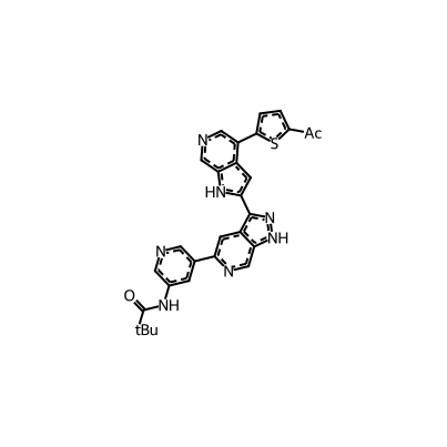 CC(=O)c1ccc(-c2cncc3[nH]c(-c4n[nH]c5cnc(-c6cncc(NC(=O)C(C)(C)C)c6)cc45)cc23)s1